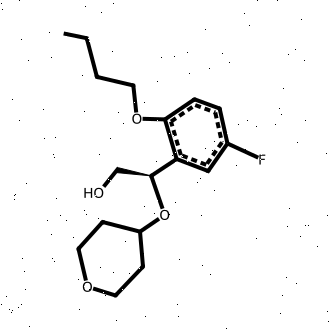 CCCCOc1ccc(F)cc1[C@H](CO)OC1CCOCC1